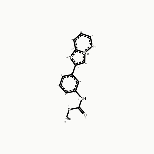 CC(C)(C)OC(=O)Nc1cccc(-c2cn3ncccc3n2)c1